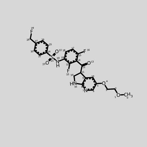 COCCOc1cnc2c(c1)C(C(=O)c1c(F)ccc(NS(=O)(=O)c3ccc(CF)cc3)c1F)CN2